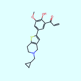 C=CC(=O)c1cc(-c2cc3c(s2)CCN(CC2CC2)C3)cc(OC)c1O